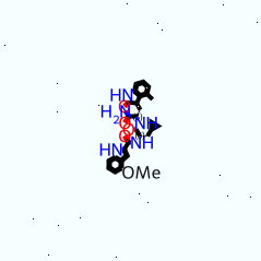 COc1cccc2[nH]c(C(=O)N[C@@H](CC3CC3)C(=O)N[C@@H](CC3C(=O)Nc4cccc(C)c43)C(N)=O)cc12